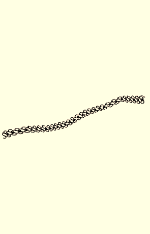 S=S=S=S=S=S=S=S=S=S=S=S=S=S=S=S=S=S=S=S=S=S=S=S=S=S=S=S=S=S=S=S=S=S=S=S=S=S=S=S=S=S=S=S=S=S=S=S=S=S=S=S=S=S=S=S=S=S=S=S=S